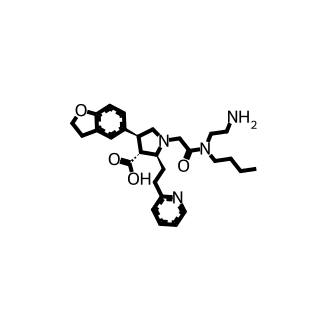 CCCCN(CCN)C(=O)CN1C[C@H](c2ccc3c(c2)CCO3)[C@@H](C(=O)O)[C@@H]1CCc1ccccn1